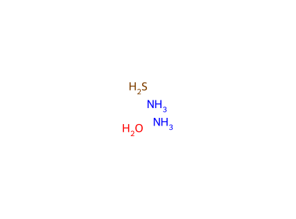 N.N.O.S